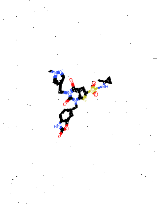 Cn1cc(Cn2c(=O)c3cc(S(=O)(=O)NC4(C)CC4)sc3n(Cc3ccc4[nH]c(=O)oc4c3)c2=O)cn1